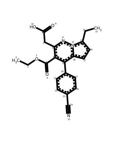 CCOC(=O)c1c(CC(=O)O)nn2c(CC)ccc2c1-c1ccc(C#N)cc1